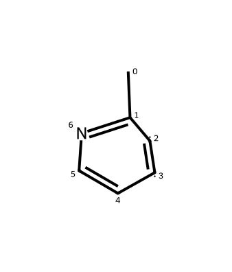 Cc1[c][c]ccn1